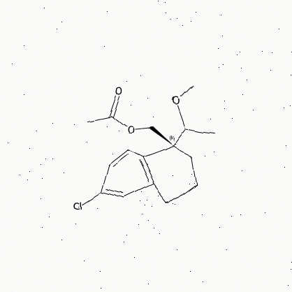 COC(C)[C@]1(COC(C)=O)CCCc2cc(Cl)ccc21